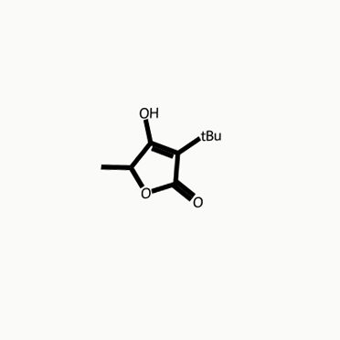 CC1OC(=O)C(C(C)(C)C)=C1O